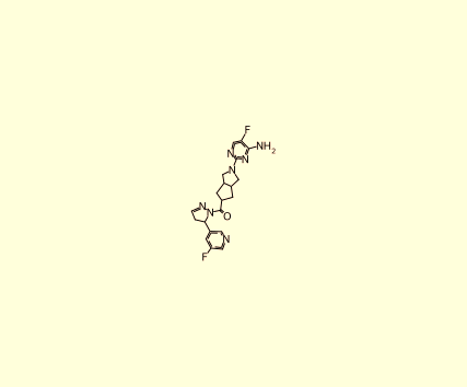 Nc1nc(N2CC3CC(C(=O)N4N=CCC4c4cncc(F)c4)CC3C2)ncc1F